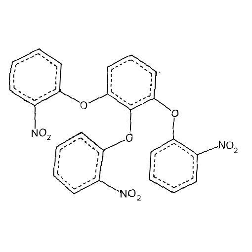 O=[N+]([O-])c1ccccc1Oc1[c]ccc(Oc2ccccc2[N+](=O)[O-])c1Oc1ccccc1[N+](=O)[O-]